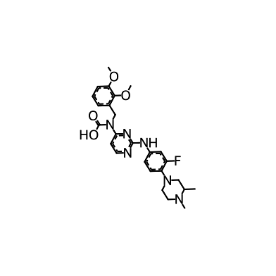 COc1cccc(CN(C(=O)O)c2ccnc(Nc3ccc(N4CCN(C)C(C)C4)c(F)c3)n2)c1OC